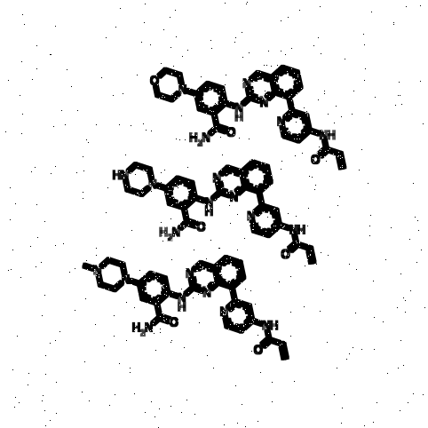 C=CC(=O)Nc1ccnc(-c2cccc3cnc(Nc4ccc(N5CCN(C)CC5)cc4C(N)=O)nc23)c1.C=CC(=O)Nc1ccnc(-c2cccc3cnc(Nc4ccc(N5CCNCC5)cc4C(N)=O)nc23)c1.C=CC(=O)Nc1ccnc(-c2cccc3cnc(Nc4ccc(N5CCOCC5)cc4C(N)=O)nc23)c1